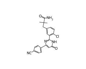 CC(C)(Cc1ccc(Cl)c(-c2nc(-c3ccc(C#N)cc3)cc(=O)[nH]2)c1)C(N)=O